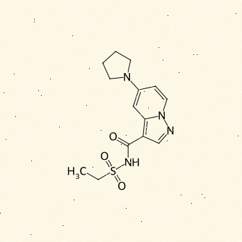 CCS(=O)(=O)NC(=O)c1cnn2ccc(N3CCCC3)cc12